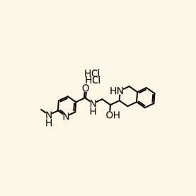 CNc1ccc(C(=O)NCC(O)C2Cc3ccccc3CN2)cn1.Cl.Cl